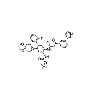 CC(C)(C)OC(=O)Nc1cc(N2CCC3(CC2)OCCO3)c(-c2ccccc2F)cc1NC(=O)CC(=O)c1cccc(-n2ccnc2)c1